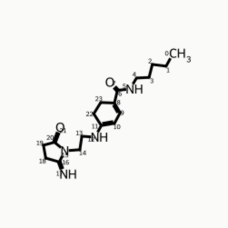 CCCCCNC(=O)C1=CC=C(NCCN2C(=N)CCC2=O)CC1